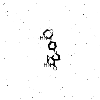 O=c1[nH]cnc2c1ccn2-c1ccc([C@H]2COCCN2)cc1